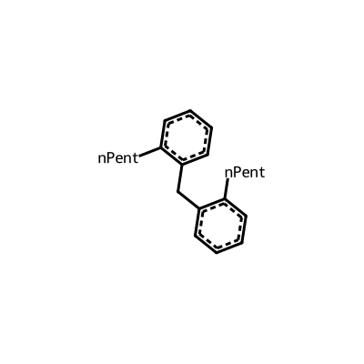 CCCCCc1ccccc1Cc1ccccc1CCCCC